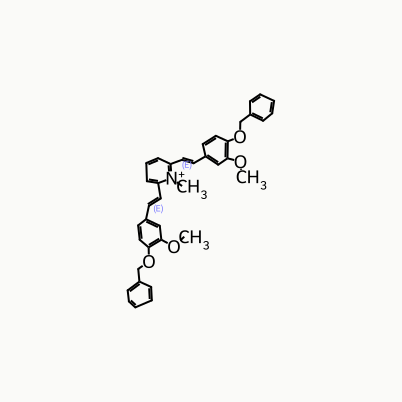 COc1cc(/C=C/c2cccc(/C=C/c3ccc(OCc4ccccc4)c(OC)c3)[n+]2C)ccc1OCc1ccccc1